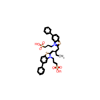 CCC(=Cc1sc2ccc(-c3ccccc3)cc2[n+]1CCCS(=O)(=O)O)C=C1Sc2ccc(-c3ccccc3)cc2N1CCCS(=O)(=O)O